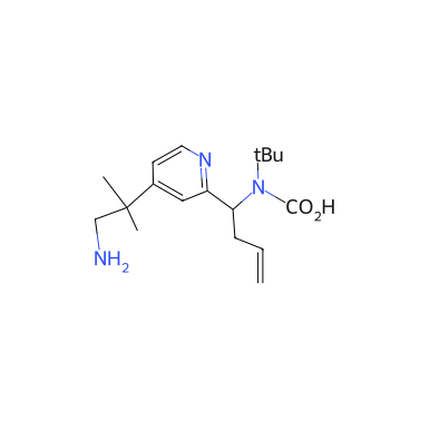 C=CCC(c1cc(C(C)(C)CN)ccn1)N(C(=O)O)C(C)(C)C